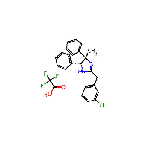 C[C@@]1(c2ccccc2)N=C(Cc2cccc(Cl)c2)N[C@@H]1c1ccccc1.O=C(O)C(F)(F)F